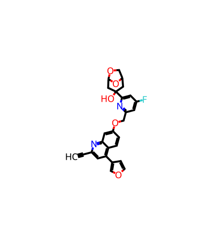 C#Cc1cc(-c2ccoc2)c2ccc(OCc3cc(F)cc(C4(O)CC5COC(C4)O5)n3)cc2n1